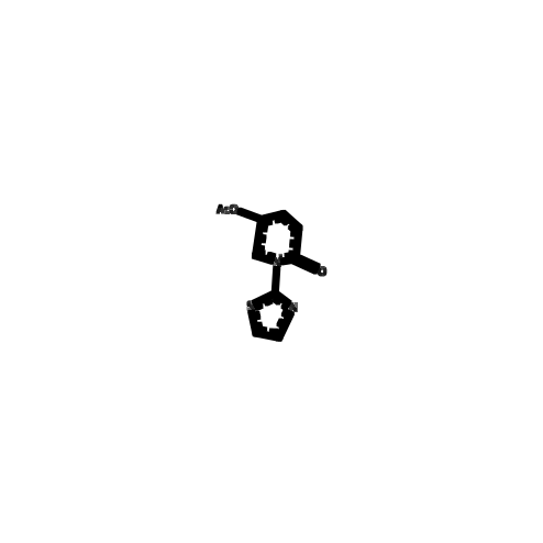 CC(=O)Oc1ccc(=O)n(-c2nccs2)c1